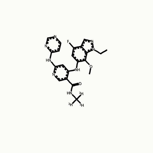 [2H]C([2H])([2H])NC(=O)c1cnc(Nc2ccncn2)cc1Nc1cc(F)c2cnn(CC)c2c1OC